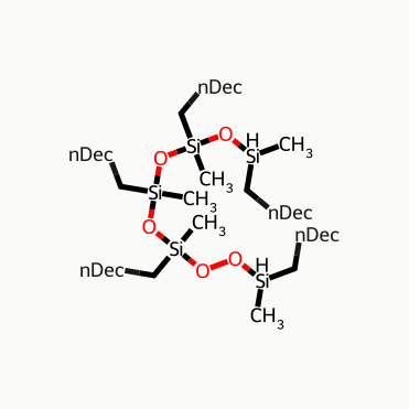 CCCCCCCCCCC[SiH](C)OO[Si](C)(CCCCCCCCCCC)O[Si](C)(CCCCCCCCCCC)O[Si](C)(CCCCCCCCCCC)O[SiH](C)CCCCCCCCCCC